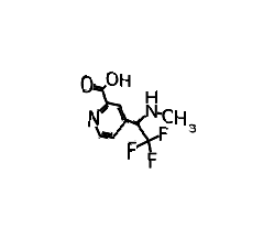 CNC(c1ccnc(C(=O)O)c1)C(F)(F)F